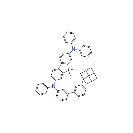 CC1(C)c2cc(N(c3ccccc3)c3ccccc3)ccc2-c2ccc(N(c3ccccc3)c3cccc(-c4cccc(C56CC7CC8CC(C5)C876)c4)c3)cc21